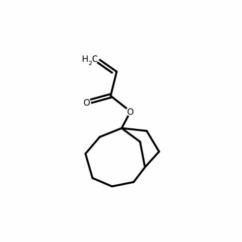 C=CC(=O)OC12CCCCCC(CC1)C2